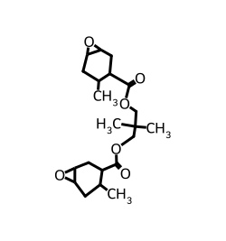 CC1CC2OC2CC1C(=O)OCC(C)(C)COC(=O)C1CC2OC2CC1C